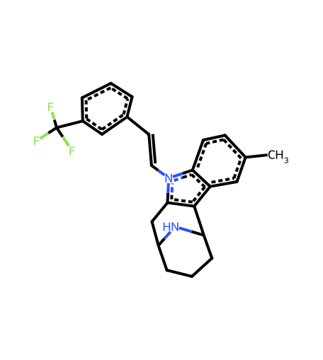 Cc1ccc2c(c1)c1c(n2/C=C/c2cccc(C(F)(F)F)c2)CC2CCCC1N2